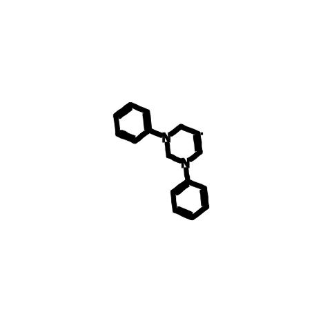 [C]1=CN(c2ccccc2)CN(c2ccccc2)C1